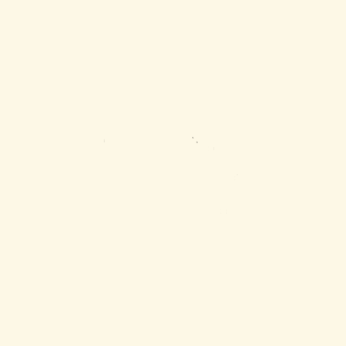 [O]c1ccc2c(-c3ccc(Cl)cc3)noc2c1Cl